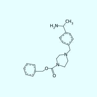 CC(N)c1ccc(CN2CCN(C(=O)OCc3ccccc3)CC2)cc1